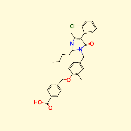 CCCCc1nc(C)c(-c2ccccc2Cl)c(=O)n1Cc1ccc(OCc2ccc(C(=O)O)cc2)c(C)c1